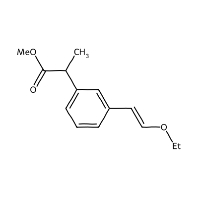 CCO/C=C/c1cccc(C(C)C(=O)OC)c1